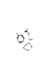 COC(=O)CSC(C)[C@H]1CNCC[C@@H]1c1ccc(Cl)cc1